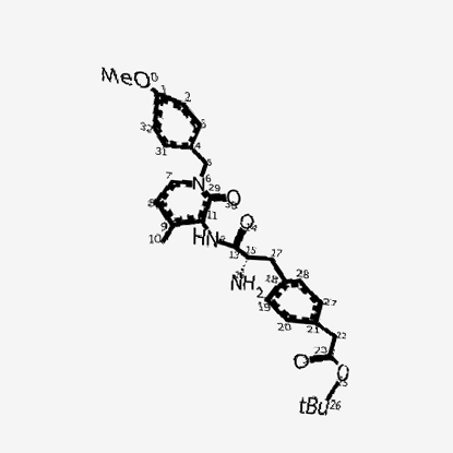 COc1ccc(Cn2ccc(C)c(NC(=O)[C@@H](N)Cc3ccc(CC(=O)OC(C)(C)C)cc3)c2=O)cc1